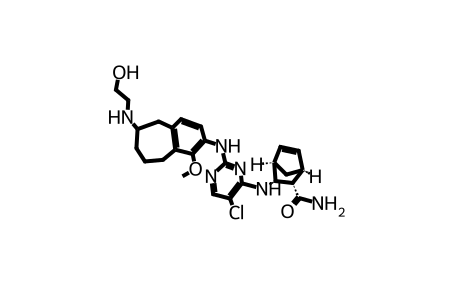 COc1c(Nc2ncc(Cl)c(N[C@H]3[C@@H](C(N)=O)[C@@H]4C=C[C@H]3C4)n2)ccc2c1CCCC(NCCO)C2